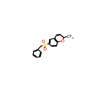 O=S(=O)(Cc1ccccc1)c1ccc2c(c1)C=CC(C(F)(F)F)O2